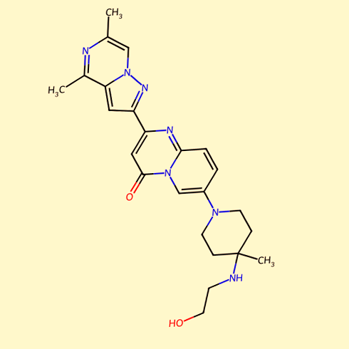 Cc1cn2nc(-c3cc(=O)n4cc(N5CCC(C)(NCCO)CC5)ccc4n3)cc2c(C)n1